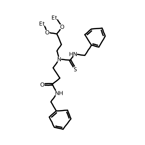 CCOC(CCN(CCC(=O)NCc1ccccc1)C(=S)NCc1ccccc1)OCC